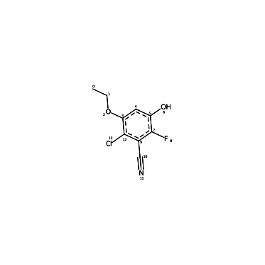 CCOc1cc(O)c(F)c(C#N)c1Cl